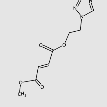 COC(=O)/C=C/C(=O)OCCn1cncn1